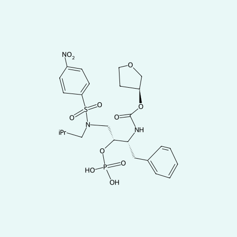 CC(C)CN(C[C@@H](OP(=O)(O)O)[C@@H](Cc1ccccc1)NC(=O)O[C@H]1CCOC1)S(=O)(=O)c1ccc([N+](=O)[O-])cc1